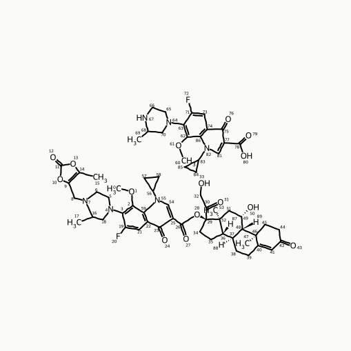 COc1c(N2CCN(Cc3oc(=O)oc3C)C(C)C2)c(F)cc2c(=O)c(C(=O)O[C@]3(C(=O)CO)CC[C@H]4[C@@H]5CCC6=CC(=O)CC[C@]6(C)[C@H]5[C@@H](O)C[C@@]43C)cn(C3CC3)c12.COc1c(N2CCNC(C)C2)c(F)cc2c(=O)c(C(=O)O)cn(C3CC3)c12